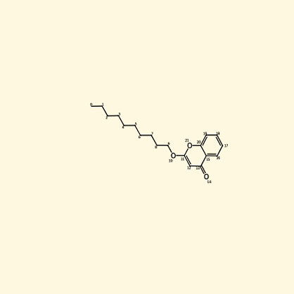 CCCCCCCCCCOc1cc(=O)c2ccccc2o1